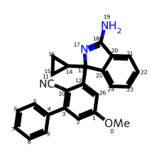 COc1cc(-c2ccccc2)c(C#N)c(C2(C3CC3)N=C(N)c3ccccc32)c1